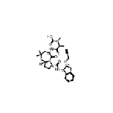 C#CCO[C@@H]1Cc2ccccc2[C@@H]1NC(=O)[C@@H]1CC[C@@H]2SC(C)(C)C[C@H](NC(=S)C(C)N(C)C(=O)O)C(=O)N21